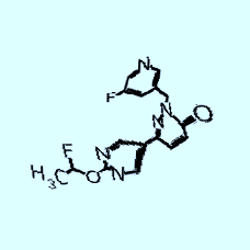 CC(F)Oc1ncc(-c2ccc(=O)n(Cc3cncc(F)c3)n2)cn1